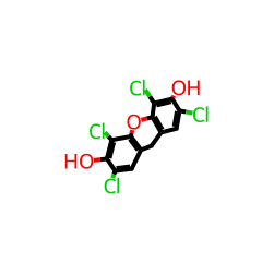 Oc1c(Cl)cc2c(c1Cl)Oc1c(cc(Cl)c(O)c1Cl)C2